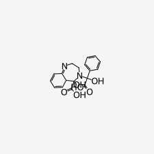 O=C(O)C(O)(c1ccccc1)N1CCN=C2C=CC=CC2C1(O)C(=O)O